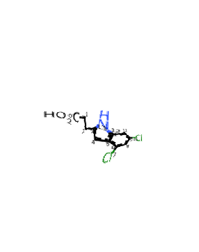 O=C(O)CCc1cc2c(Cl)cc(Cl)cc2[nH]1